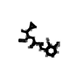 CC(C1CC1)N(C=O)CC(=O)NCc1cccc(Cl)c1F